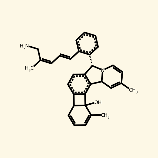 CC1=CC2c3c(ccc4c3C3(O)C(C)=CC=CC43)[C@H](c3ccccc3/C=C/C=C(/C)CN)N2C=C1